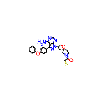 Nc1ncnc2c1c(-c1ccc(Oc3ccccc3)cc1)nn2C1COC2(CCN(C(=O)C=S)C2)C1